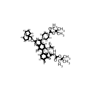 CC(C)(C)OC(=O)Nc1nc2c(-c3c(OC(F)F)cc4c(N5CCN(C(=O)OC(C)(C)C)CC5)nc(OCC56CCCN5CCC6)nc4c3F)ccc(F)c2s1